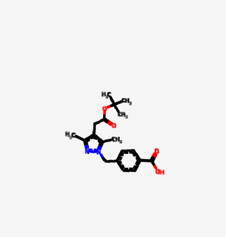 Cc1nn(Cc2ccc(C(=O)O)cc2)c(C)c1CC(=O)OC(C)(C)C